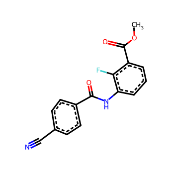 COC(=O)c1cccc(NC(=O)c2ccc(C#N)cc2)c1F